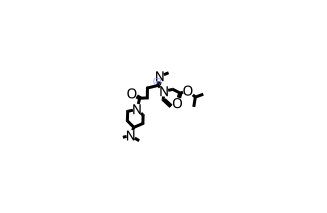 C=CN(CC(=O)OC(C)C)/C(CCC(=O)N1CCC(N(C)C)CC1)=N\C